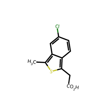 Cc1sc(CC(=O)O)c2ccc(Cl)cc12